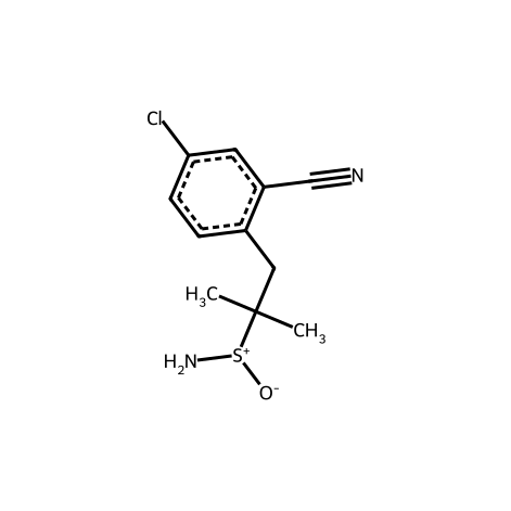 CC(C)(Cc1ccc(Cl)cc1C#N)[S+](N)[O-]